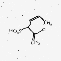 C=C(Cl)C(/C=C\C)S(=O)(=O)O